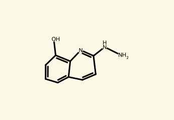 NNc1ccc2cccc(O)c2n1